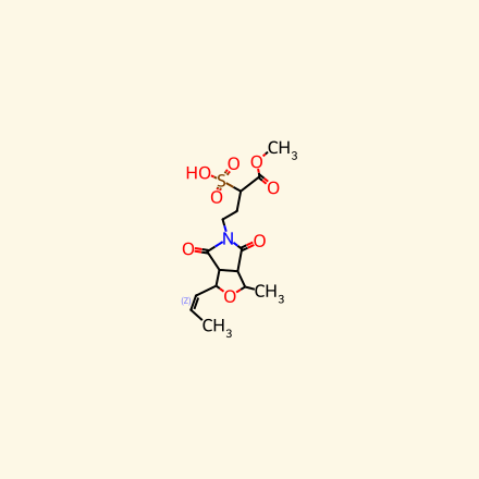 C/C=C\C1OC(C)C2C(=O)N(CCC(C(=O)OC)S(=O)(=O)O)C(=O)C12